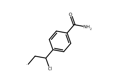 [CH2]CC(Cl)c1ccc(C(N)=O)cc1